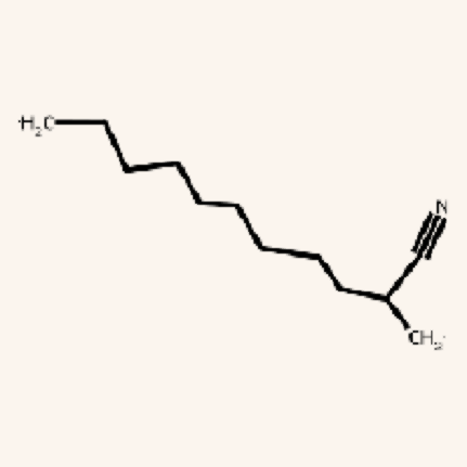 [CH2]CCCCCCCCC([CH2])C#N